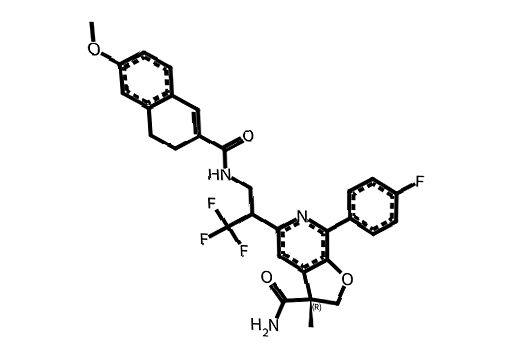 COc1ccc2c(c1)CCC(C(=O)NCC(c1cc3c(c(-c4ccc(F)cc4)n1)OC[C@]3(C)C(N)=O)C(F)(F)F)=C2